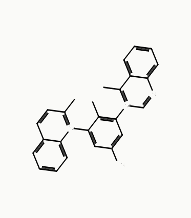 Cc1c(-[n+]2cnc3ccccc3c2C)cc(C#N)cc1-[n+]1c(C)ccc2ccccc21